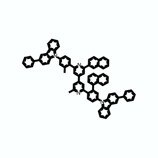 Cc1cc(-c2cc(-c3ccc4ccccc4c3)nc(-c3ccc(-n4c5ccccc5c5cc(-c6ccccc6)ccc54)cc3C)c2)cc(-c2ccc(-n3c4ccccc4c4cc(-c5ccccc5)ccc43)cc2-c2cccc3ccccc23)n1